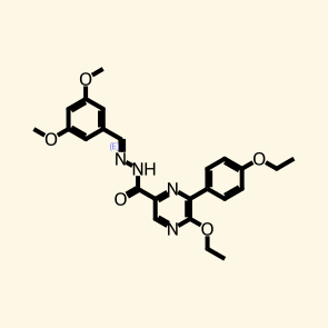 CCOc1ccc(-c2nc(C(=O)N/N=C/c3cc(OC)cc(OC)c3)cnc2OCC)cc1